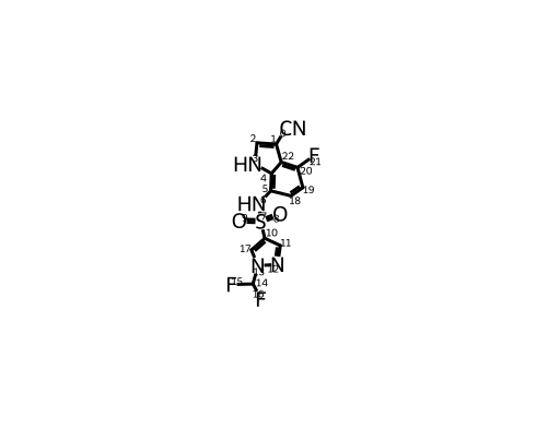 N#Cc1c[nH]c2c(NS(=O)(=O)c3cnn(C(F)F)c3)ccc(F)c12